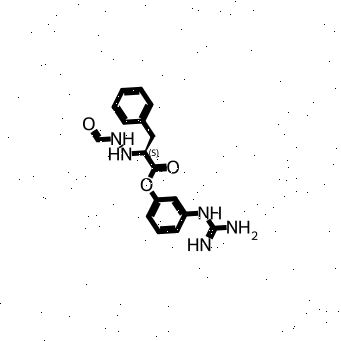 N=C(N)Nc1cccc(OC(=O)[C@H](Cc2ccccc2)NNC=O)c1